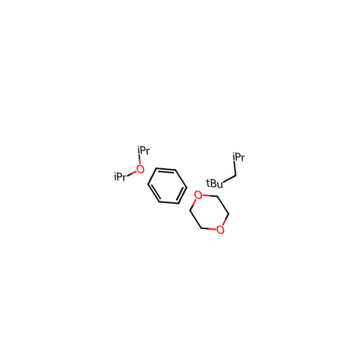 C1COCCO1.CC(C)CC(C)(C)C.CC(C)OC(C)C.c1ccccc1